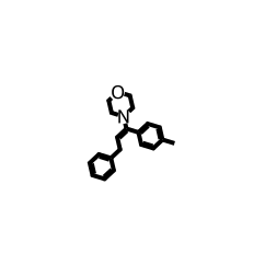 Cc1ccc(/C(=C\Cc2ccccc2)N2CCOCC2)cc1